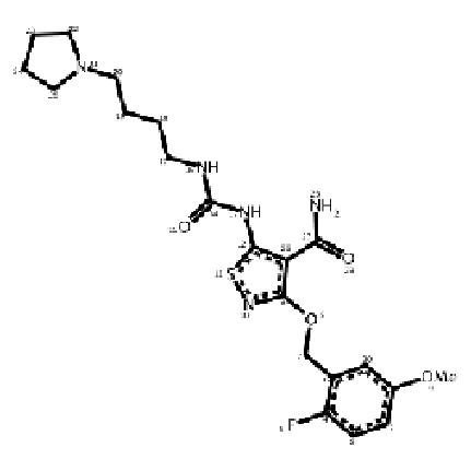 COc1ccc(F)c(COc2nsc(NC(=O)NCCCCN3CCCC3)c2C(N)=O)c1